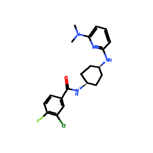 CN(C)c1cccc(N[C@H]2CC[C@@H](NC(=O)c3ccc(F)c(Cl)c3)CC2)n1